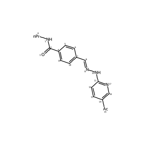 CCCNC(=O)c1ccc(/C=N/Nc2ccc(C(C)=O)cn2)cc1